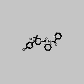 CC1(C)CN(C(=O)[C@H]2CCCC[C@H]2NC(=O)c2ccccn2)CC[C@]1(O)c1ccc(Cl)cc1